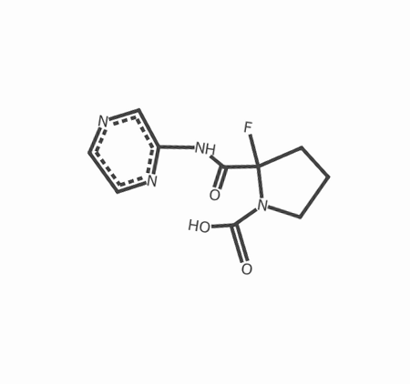 O=C(O)N1CCCC1(F)C(=O)Nc1cnccn1